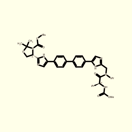 CCCN(Cc1ncc(-c2ccc(-c3ccc(-c4cnc([C@@H]5COC(C)(C)N5C(=O)OC(C)(C)C)[nH]4)cc3)cc2)[nH]1)C(=O)[C@@H](NC(=O)OC)C(C)C